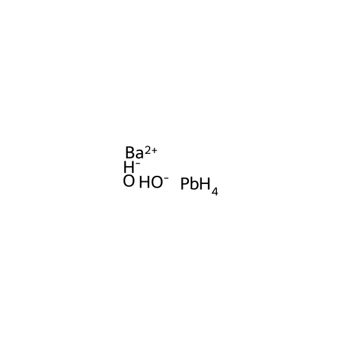 [Ba+2].[OH-].[OH-].[PbH4]